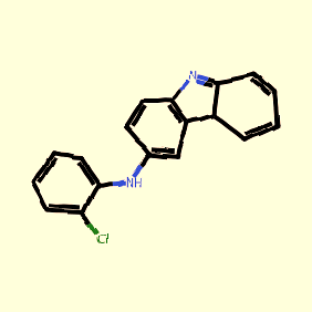 Clc1ccccc1Nc1ccc2c(c1)C1C=CC=CC1=N2